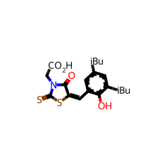 CCC(C)c1cc(C=C2SC(=S)N(CC(=O)O)C2=O)c(O)c(C(C)CC)c1